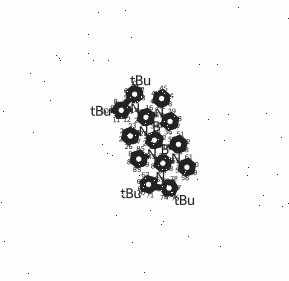 CC(C)(C)c1ccc2c(c1)c1cc(C(C)(C)C)ccc1n2-c1cc2c3c(c1)N(c1ccccc1)c1cc4c(cc1B3c1ccccc1N2c1ccccc1)B1c2ccccc2N(c2ccccc2)c2cc(-n3c5ccc(C(C)(C)C)cc5c5cc(C(C)(C)C)ccc53)cc(c21)N4c1ccccc1